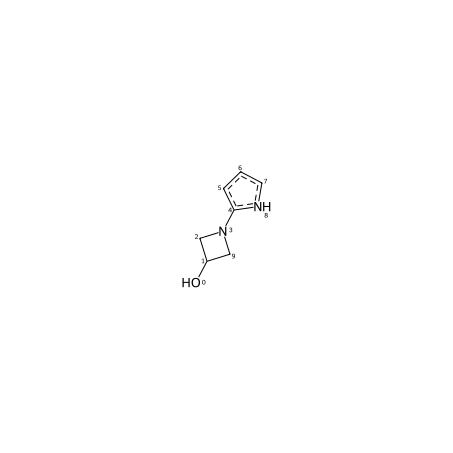 OC1CN(c2ccc[nH]2)C1